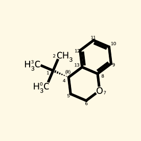 CC(C)(C)[C@H]1CCOc2ccccc21